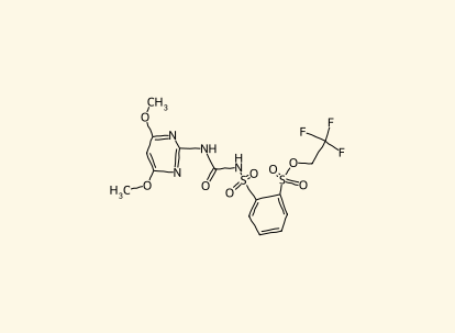 COc1cc(OC)nc(NC(=O)NS(=O)(=O)c2ccccc2S(=O)(=O)OCC(F)(F)F)n1